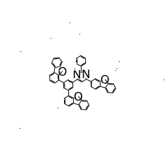 c1ccc(-c2nc(-c3cc(-c4cccc5c4oc4ccccc45)cc(-c4cccc5c4oc4ccccc45)c3)cc(-c3ccc4c(c3)oc3ccccc34)n2)cc1